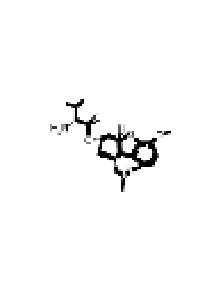 COc1ccc2c3c1O[C@H]1C[C@@H](OC(=O)[C@H](N)C(C)C)C=C[C@@]31CCN(C)C2